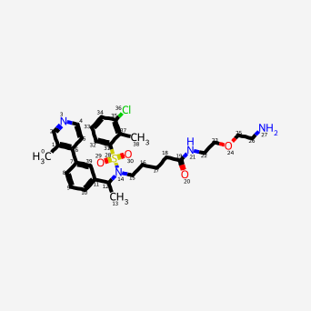 Cc1cnccc1-c1cccc(C(C)N(CCCCC(=O)NCCOCCN)S(=O)(=O)c2cccc(Cl)c2C)c1